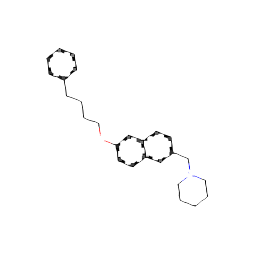 c1ccc(CCCCOc2ccc3cc(CN4CCCCC4)ccc3c2)cc1